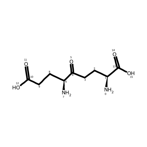 N[C@@H](CCC(=O)[C@@H](N)CCC(=O)O)C(=O)O